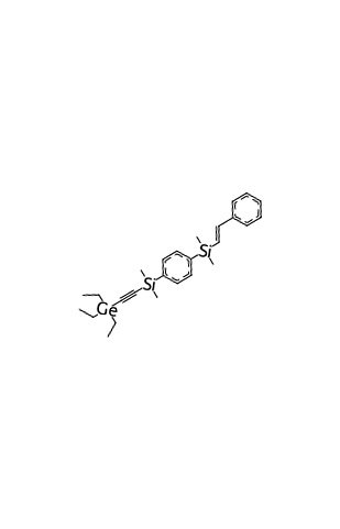 C[CH2][Ge]([C]#C[Si](C)(C)c1ccc([Si](C)(C)/C=C/c2ccccc2)cc1)([CH2]C)[CH2]C